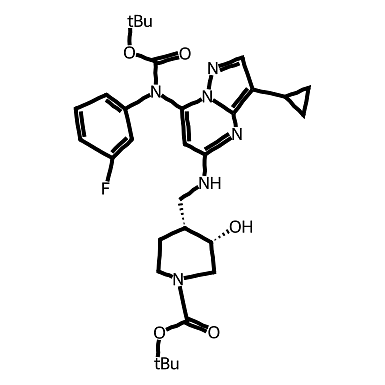 CC(C)(C)OC(=O)N1CC[C@H](CNc2cc(N(C(=O)OC(C)(C)C)c3cccc(F)c3)n3ncc(C4CC4)c3n2)[C@H](O)C1